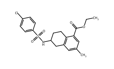 CCOC(=O)c1cc(C)cc2c1CCC(NS(=O)(=O)c1ccc(Cl)cc1)C2